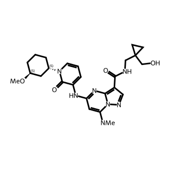 CNc1cc(Nc2cccn([C@H]3CCC[C@H](OC)C3)c2=O)nc2c(C(=O)NCC3(CO)CC3)cnn12